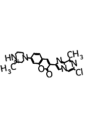 Cc1nc(Cl)cn2cc(-c3cc4ccc(N5CCN[C@H](C)C5)cc4oc3=O)nc12